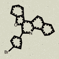 Brc1ccc(-c2nc3c4ccccc4ccc3c3c2oc2ccccc23)cc1